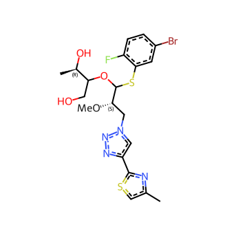 CO[C@@H](Cn1cc(-c2nc(C)cs2)nn1)C(OC(CO)[C@@H](C)O)Sc1cc(Br)ccc1F